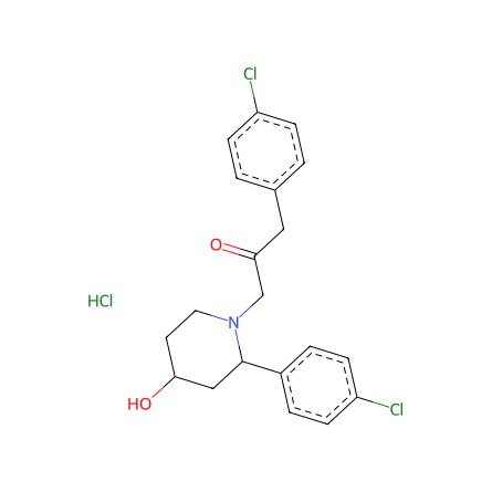 Cl.O=C(Cc1ccc(Cl)cc1)CN1CCC(O)CC1c1ccc(Cl)cc1